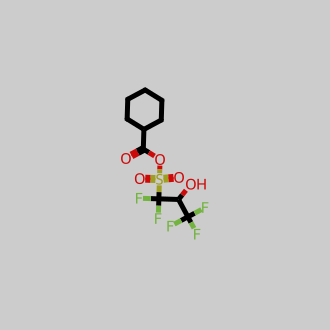 O=C(OS(=O)(=O)C(F)(F)C(O)C(F)(F)F)C1CCCCC1